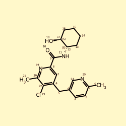 Cc1ccc(Cc2cc(C(=O)N[C@H]3CCCC[C@@H]3O)nc(C)c2Cl)cn1